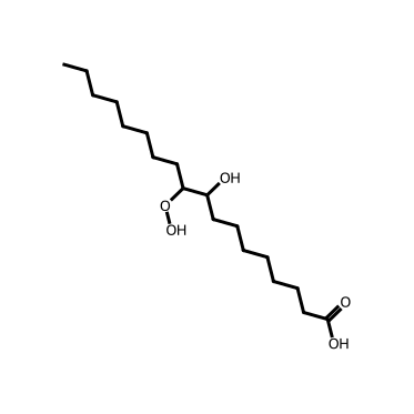 CCCCCCCCC(OO)C(O)CCCCCCCC(=O)O